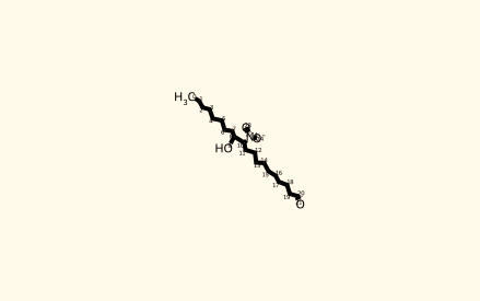 CCCCCCCCC(O)C(CCCCCCCCC[C]=O)[N+](=O)[O-]